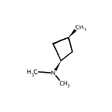 CN(C)[C@H]1C[C@@H](C)C1